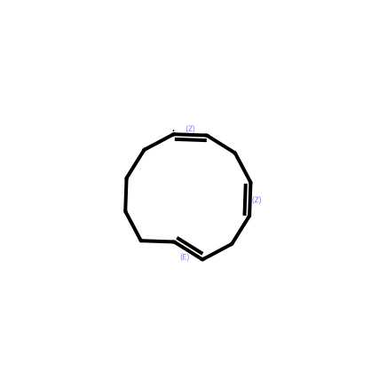 [C]1=C\C/C=C\C/C=C/CCCC/1